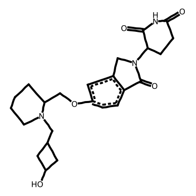 O=C1CCC(N2Cc3cc(OCC4CCCCN4CC4CC(O)C4)ccc3C2=O)C(=O)N1